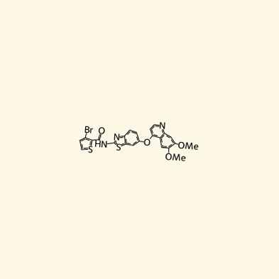 COc1cc2nccc(Oc3ccc4nc(NC(=O)c5sccc5Br)sc4c3)c2cc1OC